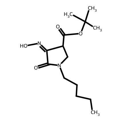 CCCCCN1CC(C(=O)OC(C)(C)C)C(=NO)C1=O